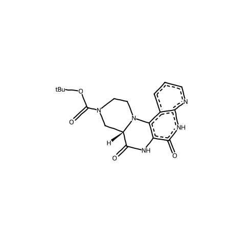 CC(C)(C)OC(=O)N1CCN2c3c(c(=O)[nH]c4ncccc34)NC(=O)[C@@H]2C1